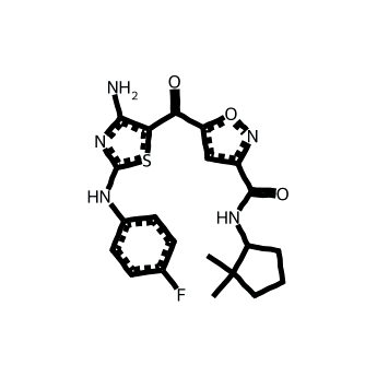 CC1(C)CCCC1NC(=O)c1cc(C(=O)c2sc(Nc3ccc(F)cc3)nc2N)on1